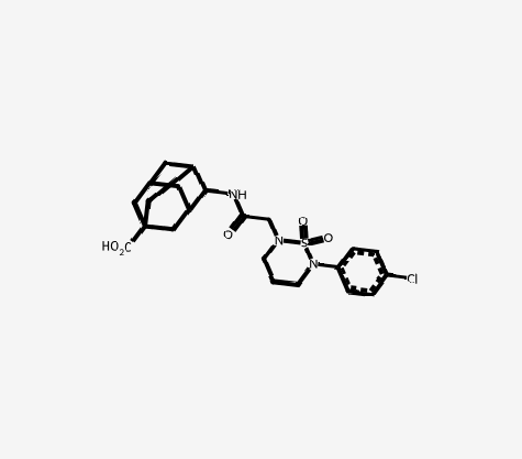 O=C(CN1CCCN(c2ccc(Cl)cc2)S1(=O)=O)NC1C2CC3CC1CC(C(=O)O)(C3)C2